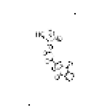 NC(CO)(CN=O)COC(=O)CC(=O)c1cc2c(o1)C(=O)c1ccccc1C2=O